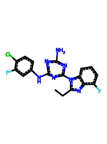 CCc1nc2c(F)cccc2n1-c1nc(N)nc(Nc2ccc(Cl)c(F)c2)n1